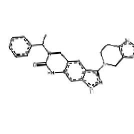 CC(c1ccccc1)N1Cc2cc3c(N4CCc5ncsc5C4)n[nH]c3cc2NC1=O